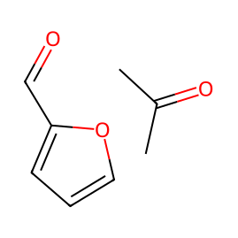 CC(C)=O.O=Cc1ccco1